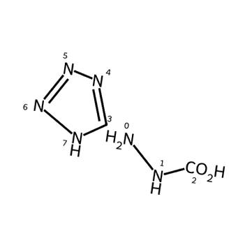 NNC(=O)O.c1nnn[nH]1